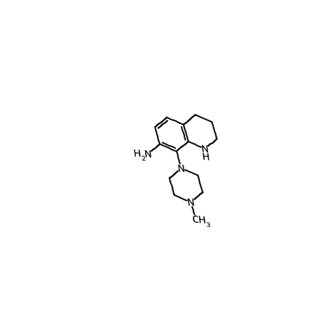 CN1CCN(c2c(N)ccc3c2NCCC3)CC1